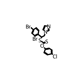 S=C(Oc1ccc(Cl)cc1)SC(Cn1ccnc1)c1ccc(Br)cc1Br